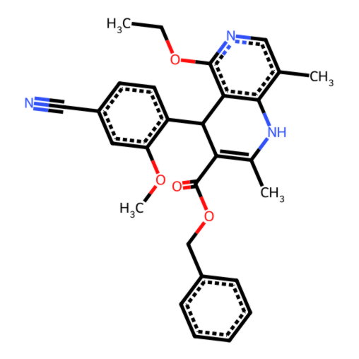 CCOc1ncc(C)c2c1C(c1ccc(C#N)cc1OC)C(C(=O)OCc1ccccc1)=C(C)N2